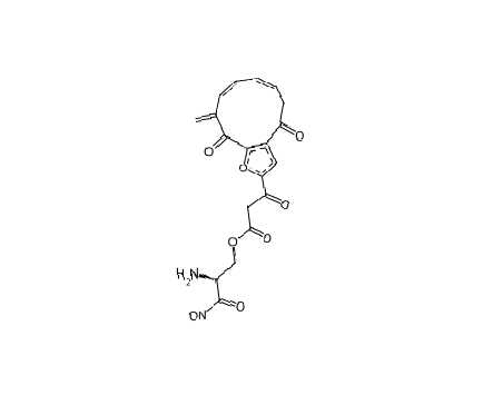 C=C1/C=C\C=C/CC(=O)c2cc(C(=O)CC(=O)OC[C@H](N)C(=O)N=O)oc2C1=O